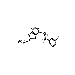 O=C(O)Oc1cc2c(NC(=O)c3cccc(F)c3)n[nH]c2s1